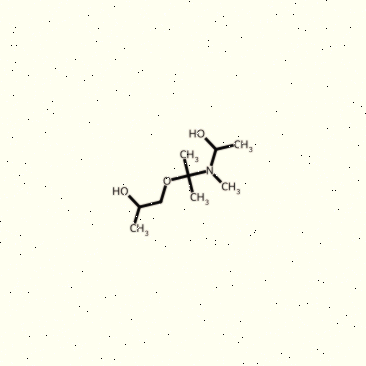 CC(O)COC(C)(C)N(C)C(C)O